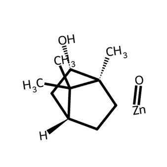 CC1(C)[C@@H]2CC[C@]1(C)[C@@H](O)C2.[O]=[Zn]